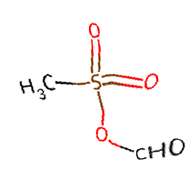 CS(=O)(=O)OC=O